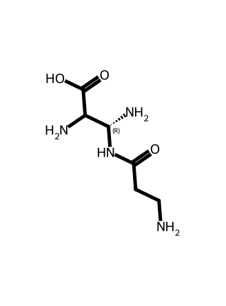 NCCC(=O)N[C@@H](N)C(N)C(=O)O